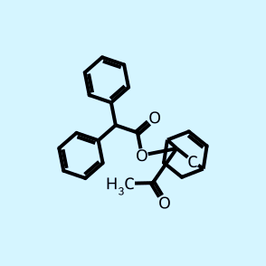 CC(=O)C1(OC(=O)C(c2ccccc2)c2ccccc2)CC2C=CC1CC2